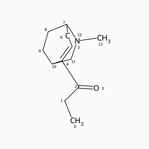 CCC(=O)C1=CCC2CCC1CN2C